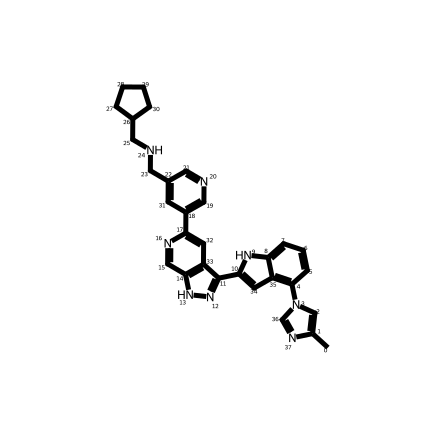 Cc1cn(-c2cccc3[nH]c(-c4n[nH]c5cnc(-c6cncc(CNCC7CCCC7)c6)cc45)cc23)cn1